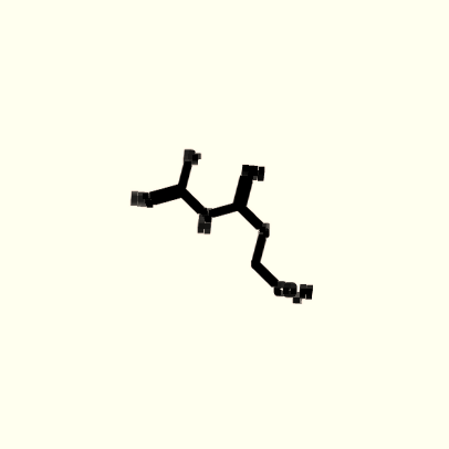 N=C(Br)NC(=N)SCC(=O)O